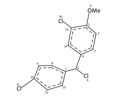 COc1ccc(C(Cl)c2ccc(Cl)cc2)cc1Cl